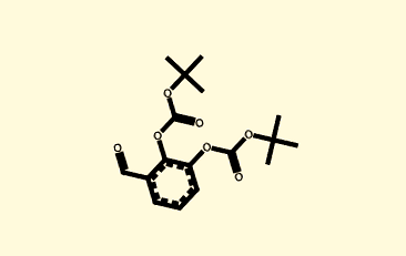 CC(C)(C)OC(=O)Oc1cccc(C=O)c1OC(=O)OC(C)(C)C